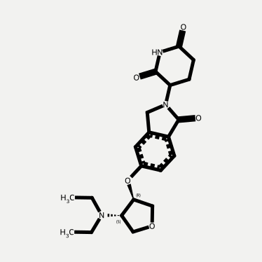 CCN(CC)[C@H]1COC[C@@H]1Oc1ccc2c(c1)CN(C1CCC(=O)NC1=O)C2=O